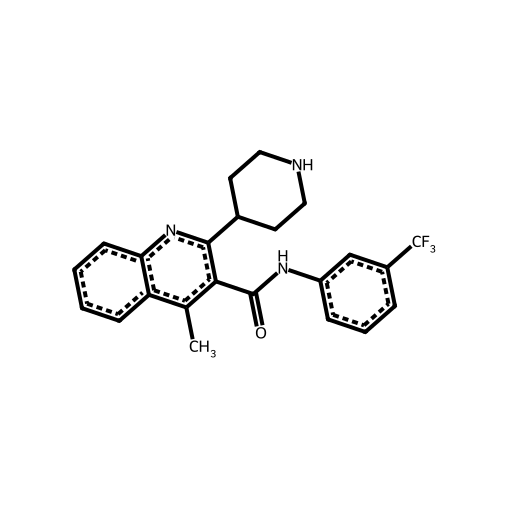 Cc1c(C(=O)Nc2cccc(C(F)(F)F)c2)c(C2CCNCC2)nc2ccccc12